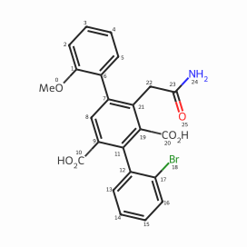 COc1ccccc1-c1cc(C(=O)O)c(-c2ccccc2Br)c(C(=O)O)c1CC(N)=O